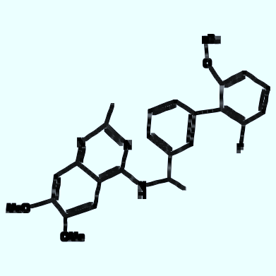 CCCCOc1cccc(F)c1-c1cccc(C(C)Nc2nc(C)nc3cc(OC)c(OC)cc23)c1